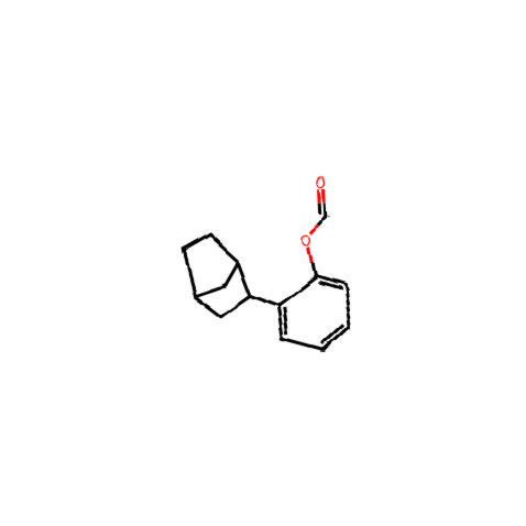 O=[C]Oc1ccccc1C1CC2CCC1C2